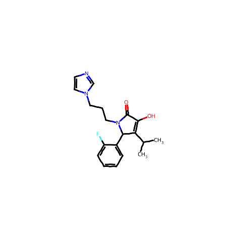 CC(C)C1=C(O)C(=O)N(CCCn2ccnc2)C1c1ccccc1F